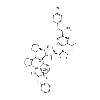 CC(C)[C@H](NC(=O)[C@@H](N)Cc1ccc(O)cc1)C(=O)N1CCC[C@H]1C(=O)N[C@@H](Cc1ccccc1)C(=O)N1CCC[C@H]1C(=O)N1CCC[C@H]1C(=O)N[C@@H](Cc1ccccc1)C(=O)O